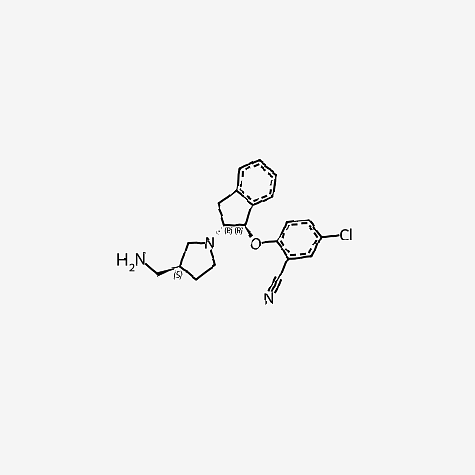 N#Cc1cc(Cl)ccc1O[C@@H]1c2ccccc2C[C@H]1N1CC[C@@H](CN)C1